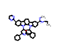 C=N/C(=N\C=C/C)c1ccc2c(c1)c1ccc3c4cc(-c5ncccn5)ccc4n(-c4cc(-c5ccccc5)nc(-c5ccccc5)c4)c3c1n2-c1ccccc1